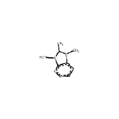 CC1N(C)c2nccnc2N1C